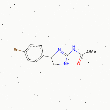 COC(=O)NC1=NC(c2ccc(Br)cc2)CN1